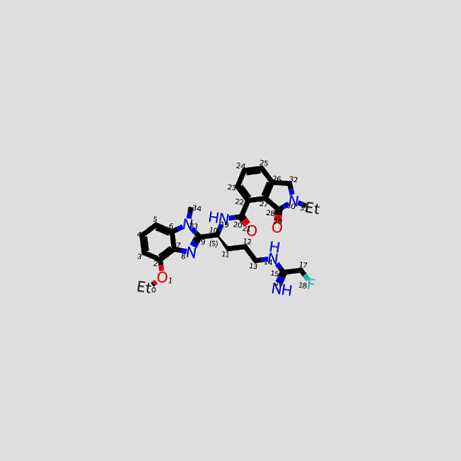 CCOc1cccc2c1nc([C@H](CCCNC(=N)CF)NC(=O)c1cccc3c1C(=O)N(CC)C3)n2C